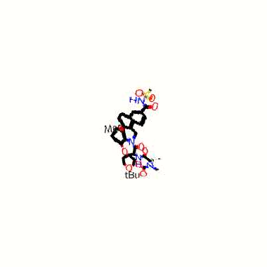 COc1ccc2cc(C(=O)NS(C)(=O)=O)ccc2c1CN1C(=O)[C@@H](NC(=O)[C@H](C)N(C)C(=O)OC(C)(C)C)C2(CCOCC2)Oc2ccccc21